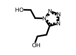 OCCc1nnnn1CCO